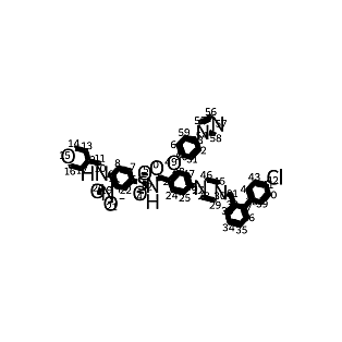 O=C(NS(=O)(=O)c1ccc(NCC2CCOCC2)c([N+](=O)[O-])c1)c1ccc(N2CCN(Cc3ccccc3-c3ccc(Cl)cc3)CC2)cc1Oc1ccc(-n2ccnc2)cc1